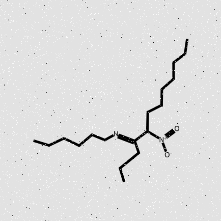 CCCCCCCC(C(CCC)=NCCCCCC)[N+](=O)[O-]